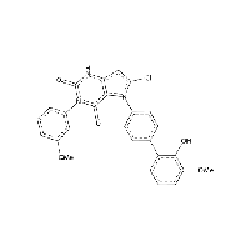 COc1cccc(-n2c(=O)[nH]c3cc(Cl)n(-c4ccc(-c5cccc(OC)c5O)cc4)c3c2=O)c1